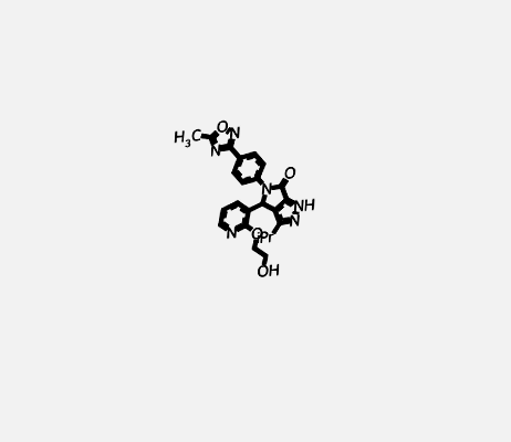 Cc1nc(-c2ccc(N3C(=O)c4[nH]nc(C(C)C)c4C3c3cccnc3OCCO)cc2)no1